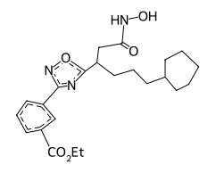 CCOC(=O)c1cccc(-c2noc(C(CCCC3CCCCC3)CC(=O)NO)n2)c1